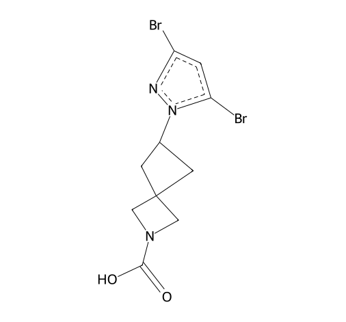 O=C(O)N1CC2(CC(n3nc(Br)cc3Br)C2)C1